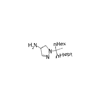 CCCCCCCC(C)(CCCCCC)N1CC(N)C=N1